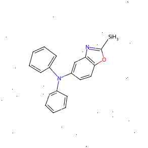 [SiH3]c1nc2cc(N(c3ccccc3)c3ccccc3)ccc2o1